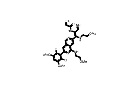 C=CC(=O)N/C(C=N)=C(/NCCOC)c1cc2c(NCCOC)nc(-c3c(Cl)c(OC)cc(OC)c3Cl)cc2cn1